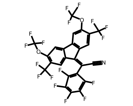 N#CC(=C1c2cc(C(F)(F)F)c(OC(F)(F)F)cc2-c2cc(OC(F)(F)F)c(C(F)(F)F)cc21)c1c(F)c(F)c(F)c(F)c1F